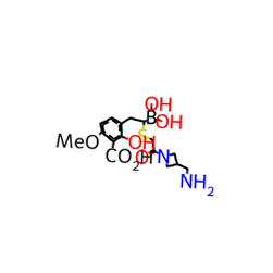 COc1ccc(CC(SCC(=O)N2CC(CN)C2)B(O)O)c(O)c1C(=O)O